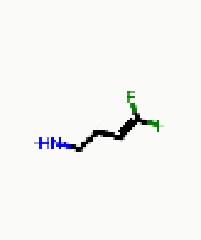 [NH]CCC=C(F)F